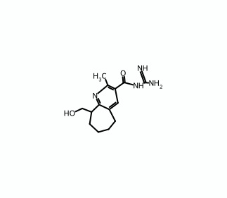 Cc1nc2c(cc1C(=O)NC(=N)N)CCCCC2CO